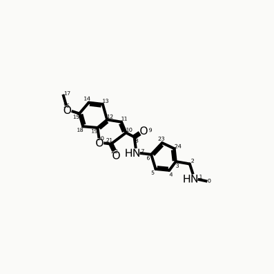 CNCc1ccc(NC(=O)c2cc3ccc(OC)cc3oc2=O)cc1